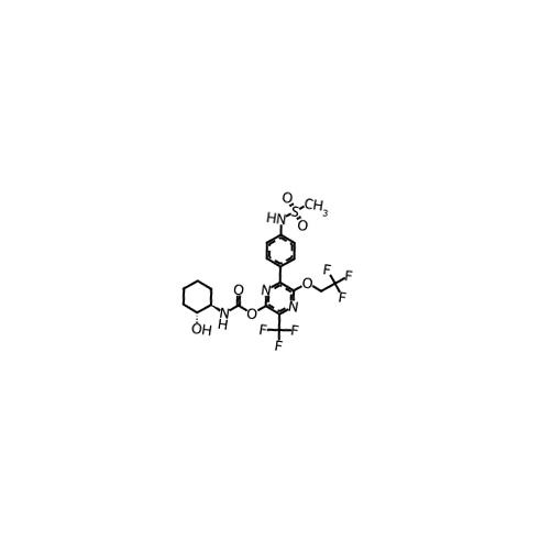 CS(=O)(=O)Nc1ccc(-c2nc(OC(=O)N[C@@H]3CCCC[C@H]3O)c(C(F)(F)F)nc2OCC(F)(F)F)cc1